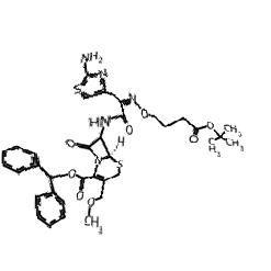 COCC1=C(C(=O)OC(c2ccccc2)c2ccccc2)N2C(=O)C(NC(=O)/C(=N\OCCCC(=O)OC(C)(C)C)c3csc(N)n3)[C@H]2SC1